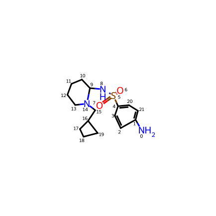 Nc1ccc(S(=O)(=O)NC2CCCCN2CC2CCC2)cc1